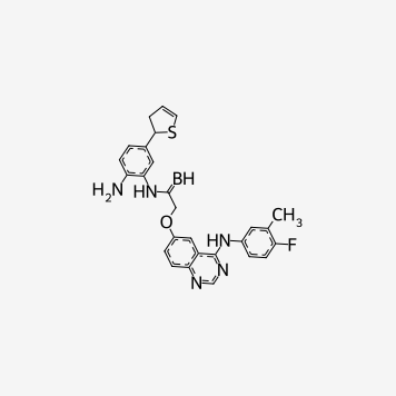 B=C(COc1ccc2ncnc(Nc3ccc(F)c(C)c3)c2c1)Nc1cc(C2CC=CS2)ccc1N